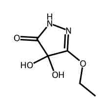 CCOC1=NNC(=O)C1(O)O